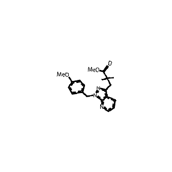 COC(=O)C(C)(C)Cc1nn(Cc2ccc(OC)cc2)c2ncccc12